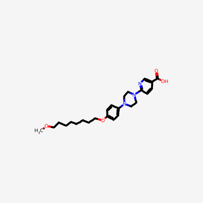 COCCCCCCCCOc1ccc(N2CCN(c3ccc(C(=O)O)cn3)CC2)cc1